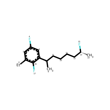 CCc1cc(F)cc(C(C)CCCC[C@@H](C)F)c1F